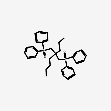 CCCCC(CCC)(CP(=O)(c1ccccc1)c1ccccc1)CP(=O)(c1ccccc1)c1ccccc1